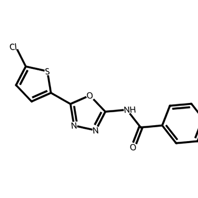 O=C(Nc1nnc(-c2ccc(Cl)s2)o1)c1ccccc1